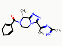 CC(=N)/N=C(\C)c1nnc2n1CCN(C(=O)C1=CCCC=C1)[C@@H]2C